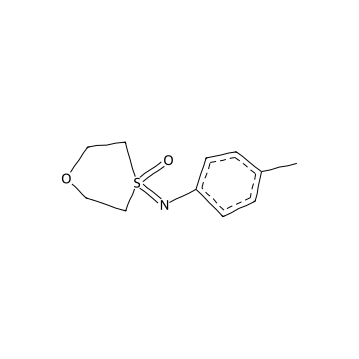 Cc1ccc(N=S2(=O)CCOCC2)cc1